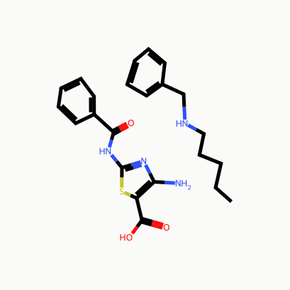 CCCCCNCc1ccccc1.Nc1nc(NC(=O)c2ccccc2)sc1C(=O)O